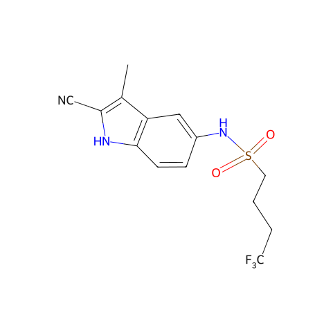 Cc1c(C#N)[nH]c2ccc(NS(=O)(=O)CCCC(F)(F)F)cc12